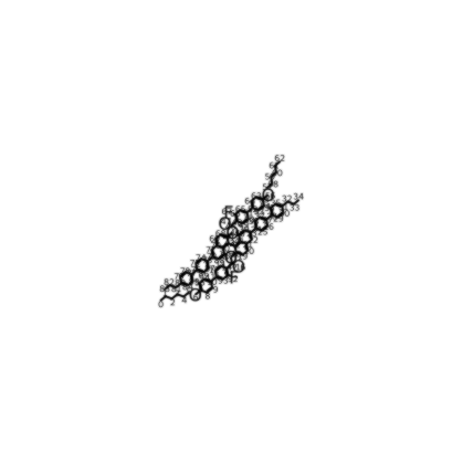 CCCCCCOc1ccc(-c2ccc(C(=O)Oc3ccc4cc(-c5ccc(-c6ccc(CCC)cc6)cc5)ccc4c3-c3c(OC(=O)c4ccc(-c5ccc(OCCCCCC)cc5)cc4F)ccc4cc(-c5ccc(-c6ccc(CCC)cc6)cc5)ccc34)c(F)c2)cc1